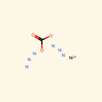 O=C([O-])[O-].[N].[N].[N].[N].[N].[N].[Ni+2]